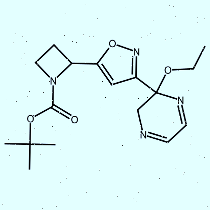 CCOC1(c2cc(C3CCN3C(=O)OC(C)(C)C)on2)CN=CC=N1